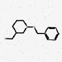 FCC1CCCN(OCc2ccccc2)C1